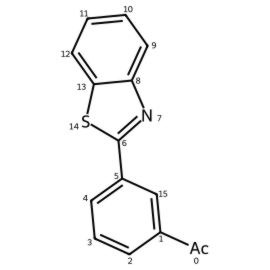 CC(=O)c1cccc(-c2nc3ccccc3s2)c1